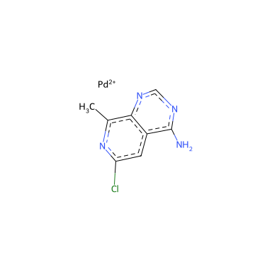 Cc1nc(Cl)cc2c(N)ncnc12.[Pd+2]